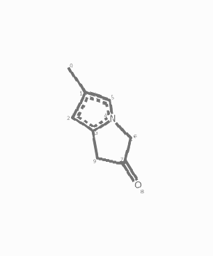 Cc1cc2n(c1)CC(=O)C2